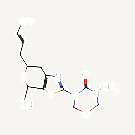 CCCC=CCC1Cc2nc(N3COCN(C)C3=O)sc2C(C#N)S1